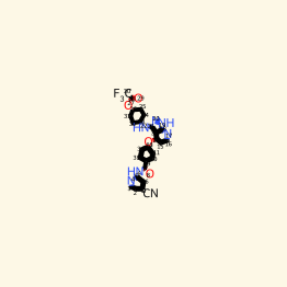 N#Cc1ccnc(NC(=O)c2ccc(Oc3ccnc4[nH]nc(NC5CCC(OC(=O)C(F)(F)F)CC5)c34)cc2)c1